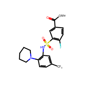 COC(=O)c1ccc(F)c(S(=O)(=O)Nc2cc(C(F)(F)F)ccc2N2CCCCC2)c1